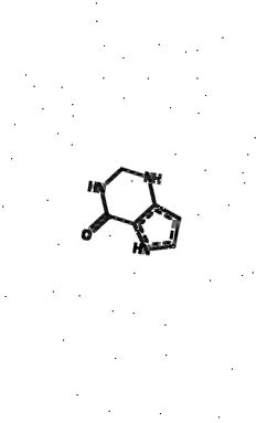 O=C1NCNc2cc[nH]c21